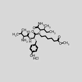 CC[C@H](C)[C@@H](C(N)=O)N(CCCCCC(=O)OC)C(=O)[C@H](Cc1ccc(O)cc1)NC(=O)[C@@H](N)C(C)C.Cl